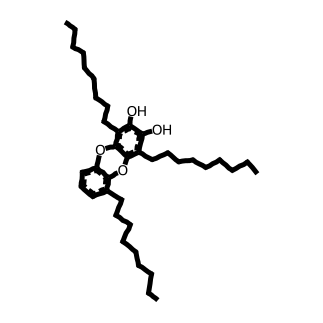 CCCCCCCCCc1cccc2c1Oc1c(CCCCCCCCC)c(O)c(O)c(CCCCCCCCC)c1O2